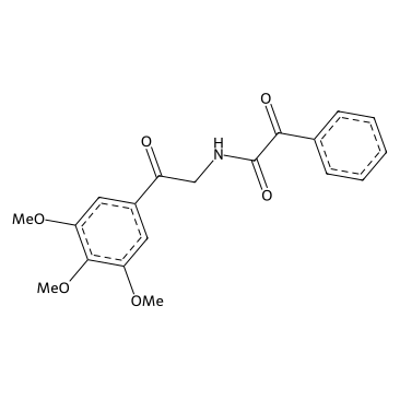 COc1cc(C(=O)CNC(=O)C(=O)c2ccccc2)cc(OC)c1OC